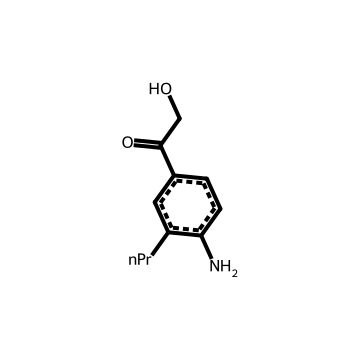 CCCc1cc(C(=O)CO)ccc1N